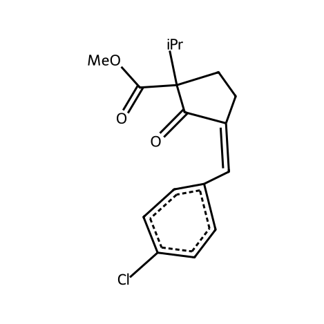 COC(=O)C1(C(C)C)CC/C(=C/c2ccc(Cl)cc2)C1=O